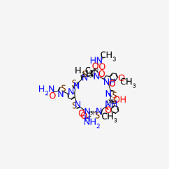 CCNC(=O)O[C@H]1CN2C(=O)C(Cc3ccc(OC)cc3)NC(=O)c3csc(n3)[C@H]([C@H](O)c3ccccc3)NC(=O)c3nc(sc3C)[C@H](CC(N)=O)NC(=O)c3csc(n3)-c3ccc(-c4nc(C(N)=O)cs4)nc3-c3csc(n3)-c3csc(n3)[C@@H]2[C@H]1C